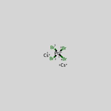 [Br][Pt-2]([Br])([Br])[Br].[Cs+].[Cs+]